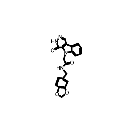 O=C(Cn1c2ccccc2c2cn[nH]c(=O)c21)NCc1ccc2c(c1)OCO2